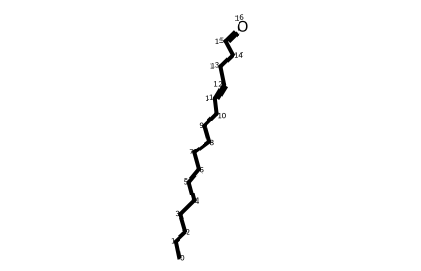 CCCCCCCCCCCC=CCCC=O